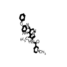 Cc1c(NC(=O)C2=CCCN(C)C2)cn2ncc(C#N)c(Nc3ccc(Oc4ccccc4)cc3)c12